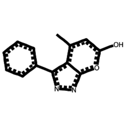 Cc1cc(O)oc2nnc(-c3ccccc3)c1-2